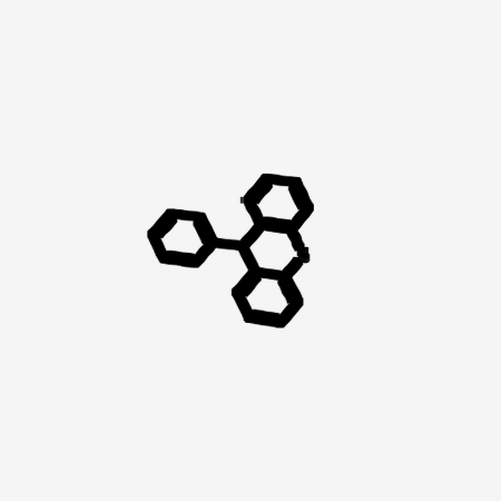 [c]1cccc2c1C(c1ccccc1)c1ccccc1S2